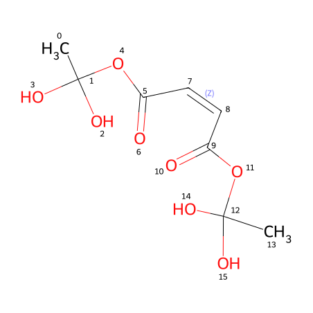 CC(O)(O)OC(=O)/C=C\C(=O)OC(C)(O)O